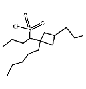 CCCCCC1(C(CCC)S(=O)(=O)Cl)CC(CCC)C1